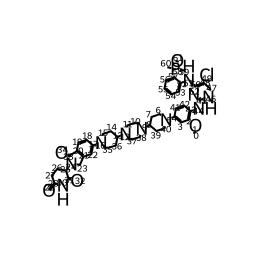 COc1cc(N2CCC(N3CCN(C4CCN(c5ccc6c(c5)CN(C5CCC(=O)NC5=O)C6=O)CC4)CC3)CC2)ccc1Nc1ncc(Cl)c(Nc2ccccc2P(C)(C)=O)n1